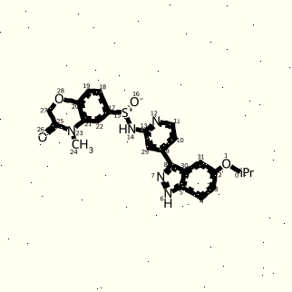 CC(C)Oc1ccc2[nH]nc(-c3ccnc(N[S+]([O-])c4ccc5c(c4)N(C)C(=O)CO5)c3)c2c1